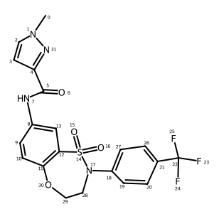 Cn1ccc(C(=O)Nc2ccc3c(c2)S(=O)(=O)N(c2ccc(C(F)(F)F)cc2)CCO3)n1